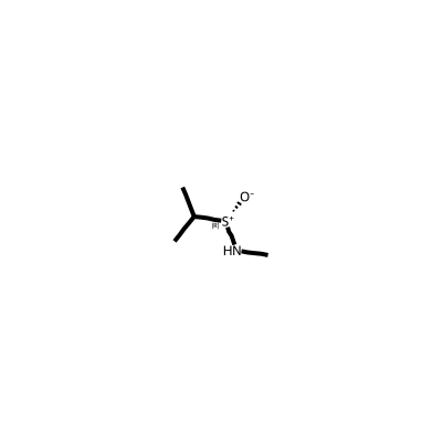 CN[S@@+]([O-])C(C)C